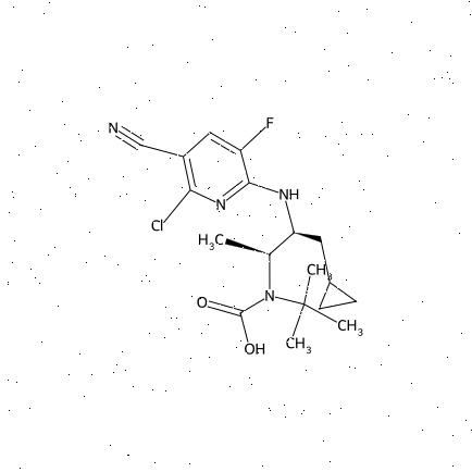 C[C@@H]([C@H](CC1CC1)Nc1nc(Cl)c(C#N)cc1F)N(C(=O)O)C(C)(C)C